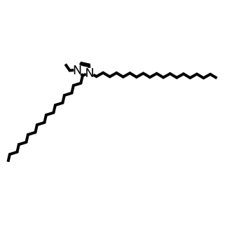 CCCCCCCCCCCCCCCCCCCN1C=CN(CC)C1CCCCCCCCCCCCCCCCC